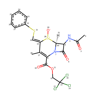 CC(=O)NC1C(=O)N2C(C(=O)OCC(Cl)(Cl)Cl)=C(C)C(=CSc3ccccc3)[S+]([O-])[C@@H]12